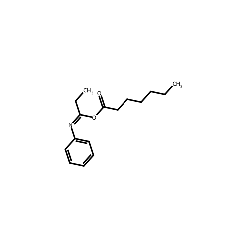 CCCCCCC(=O)OC(CC)=Nc1ccccc1